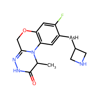 CC1C(=O)NN=C2COc3cc(F)c([AsH]C4CNC4)cc3N21